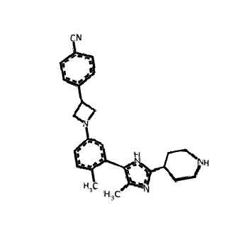 Cc1ccc(N2CC(c3ccc(C#N)cc3)C2)cc1-c1[nH]c(C2CCNCC2)nc1C